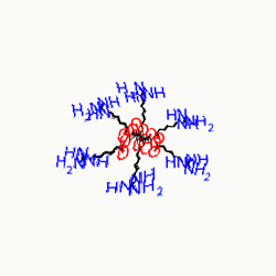 N=C(N)NCCCCCC(=O)OC[C@H](OC(=O)CCCCCNC(=N)N)[C@@H](OC(=O)CCCCCNC(=N)N)[C@H](OC(=O)CCCCCNC(=N)N)[C@@H](COC(=O)CCCCCNC(=N)N)OC(=O)CCCCCNC(=N)N